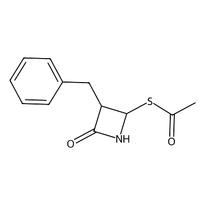 CC(=O)SC1NC(=O)C1Cc1ccccc1